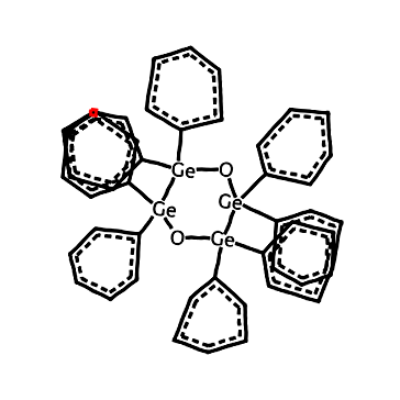 c1cc[c]([Ge]2([c]3ccccc3)[O][Ge]([c]3ccccc3)([c]3ccccc3)[Ge]([c]3ccccc3)([c]3ccccc3)[O][Ge]2([c]2ccccc2)[c]2ccccc2)cc1